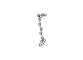 CCC(C)(C)OC(=O)COCCOCCOCCOCCOCC(=O)OC(C)(C)C